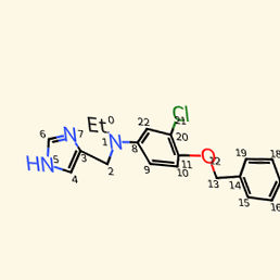 CCN(Cc1c[nH]cn1)c1ccc(OCc2ccccc2)c(Cl)c1